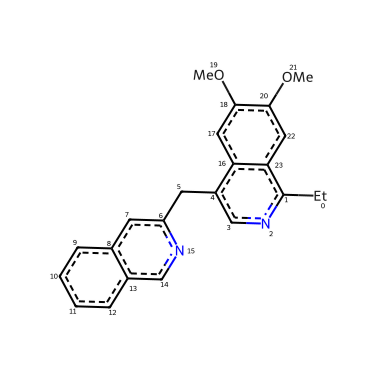 CCc1ncc(Cc2cc3ccccc3cn2)c2cc(OC)c(OC)cc12